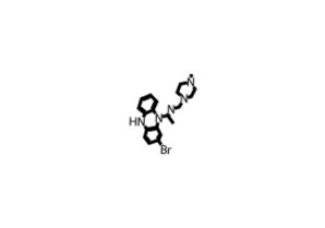 C/C(=N\CN1CCN(C)CC1)N1c2ccccc2Nc2ccc(Br)cc21